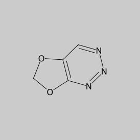 c1nnnc2c1OCO2